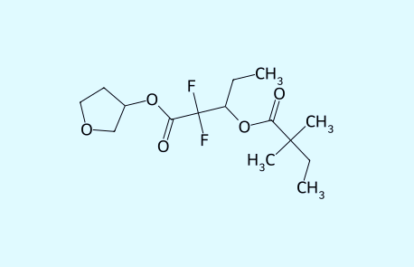 CCC(OC(=O)C(C)(C)CC)C(F)(F)C(=O)OC1CCOC1